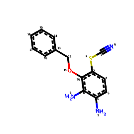 N#CSc1ccc(N)c(N)c1OCc1ccccc1